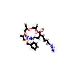 CC(COCc1ccccc1)OCC(C)OCC(C)OC(=O)C(CCCCN=[N+]=[N-])CCN=[N+]=[N-]